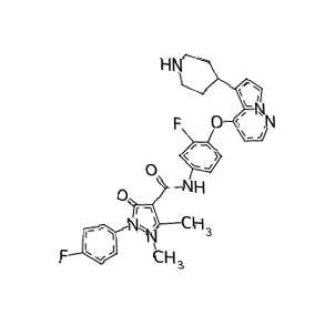 Cc1c(C(=O)Nc2ccc(Oc3ccnn4ccc(C5CCNCC5)c34)c(F)c2)c(=O)n(-c2ccc(F)cc2)n1C